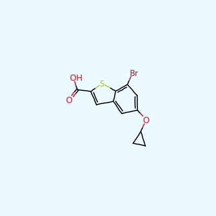 O=C(O)c1cc2cc(OC3CC3)cc(Br)c2s1